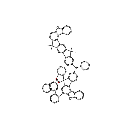 CC1(C)c2cc(N(c3ccccc3)c3ccc4c(c3)C3(c5ccccc5-c5ccccc53)c3c5c(c6oc7ccccc7c6c3-4)-c3ccccc3C53c4ccccc4-c4ccccc43)ccc2-c2cc3c(cc21)-c1c(ccc2oc4ccccc4c12)C3(C)C